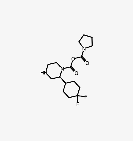 O=C(OC(=O)N1CCNC[C@@H]1C1CCC(F)(F)CC1)N1CCCC1